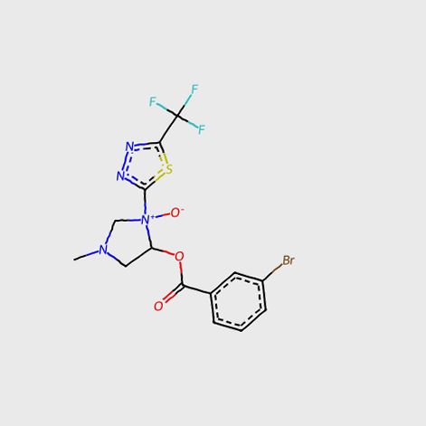 CN1CC(OC(=O)c2cccc(Br)c2)[N+]([O-])(c2nnc(C(F)(F)F)s2)C1